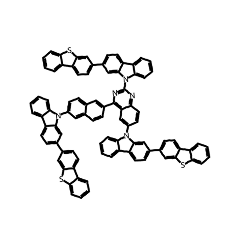 c1ccc2c(c1)sc1cc(-c3ccc4c5ccccc5n(-c5ccc6cc(-c7nc(-n8c9ccccc9c9ccc(-c%10ccc%11c(c%10)sc%10ccccc%10%11)cc98)nc8ccc(-n9c%10ccccc%10c%10ccc(-c%11ccc%12c(c%11)sc%11ccccc%11%12)cc%109)cc78)ccc6c5)c4c3)ccc12